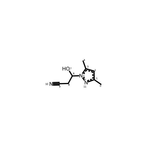 Cc1cc(C)n(C(O)CC#N)n1